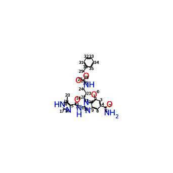 COc1cc(C(N)=O)cc2nc(NC(=O)c3nc[nH]c3C)n(CCCNC(=O)OCc3ccccc3)c12